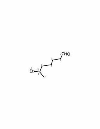 CC[C@H](C)CCCCC=O